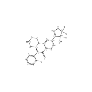 Cc1cccnc1N(C(=O)c1ccc(C2=NOC(C)(C)[C@@]2(C)O)cc1)[C@@H]1CCCNC1